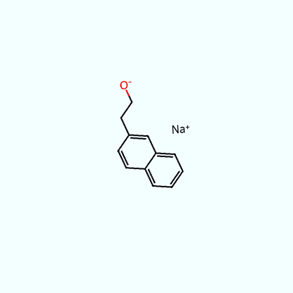 [Na+].[O-]CCc1ccc2ccccc2c1